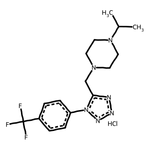 CC(C)N1CCN(Cc2nnnn2-c2ccc(C(F)(F)F)cc2)CC1.Cl